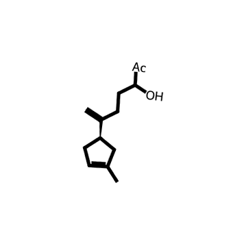 C=C(CCC(O)C(C)=O)[C@@H]1CC=C(C)C1